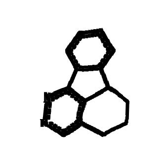 c1ccc2c(c1)-c1nncc3c1C2CCC3